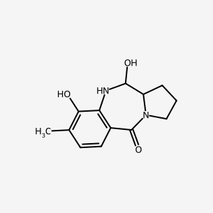 Cc1ccc2c(c1O)NC(O)C1CCCN1C2=O